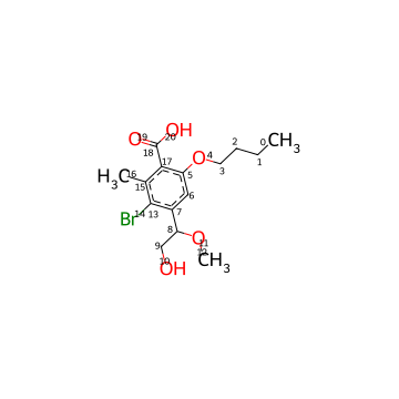 CCCCOc1cc(C(CO)OC)c(Br)c(C)c1C(=O)O